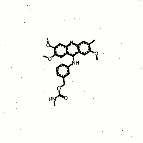 CNC(=O)OCc1cccc(Nc2c3cc(OC)c(C)cc3nc3cc(OC)c(OC)cc23)c1